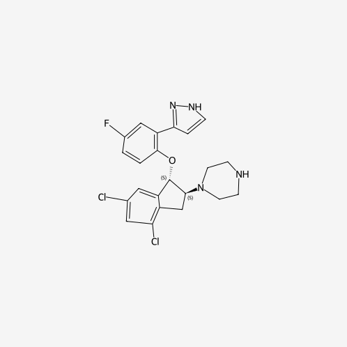 Fc1ccc(O[C@H]2c3cc(Cl)cc(Cl)c3C[C@@H]2N2CCNCC2)c(-c2cc[nH]n2)c1